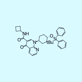 CC(C)(C)[Si](O[C@H]1CC[C@H](n2cc(C(=O)NC3CCC3)c(=O)c3cccnc32)CC1)(c1ccccc1)c1ccccc1